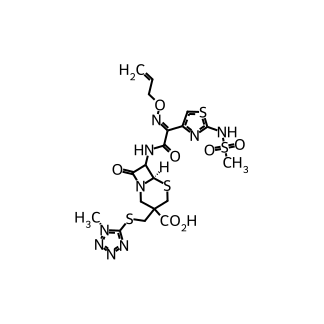 C=CCON=C(C(=O)NC1C(=O)N2CC(CSc3nnnn3C)(C(=O)O)CS[C@H]12)c1csc(NS(C)(=O)=O)n1